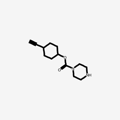 C#CC1CCC(OC(=O)N2CCNCC2)CC1